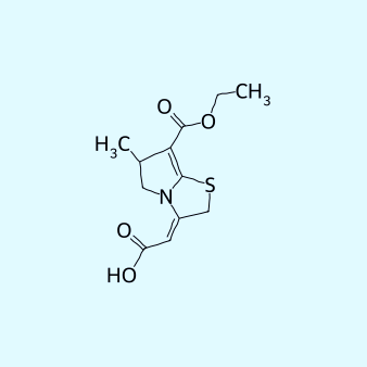 CCOC(=O)C1=C2SCC(=CC(=O)O)N2CC1C